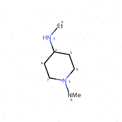 CCNC1CCN(NC)CC1